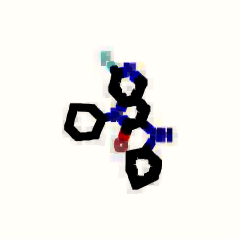 O=c1c(Nc2ccccc2)cc2cnc(F)cc2n1C1CCCCC1